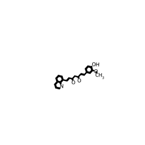 COc1cc(/C=C/C(=O)CC(=O)/C=C/c2cccc3cccnc23)ccc1O